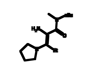 CCCCN(C)C(=O)/C(N)=C(\CC)N1CCCC1